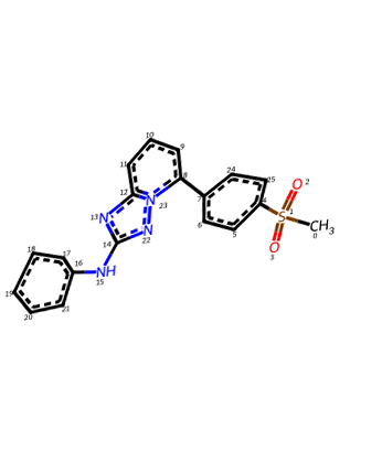 CS(=O)(=O)c1ccc(-c2cccc3nc(Nc4ccccc4)nn23)cc1